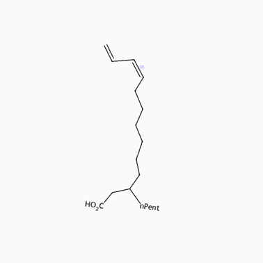 C=C/C=C\CCCCCCC(CCCCC)CC(=O)O